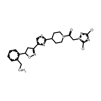 O=C(Cn1nc(Cl)nc1Cl)N1CCC(c2nc(C3=NOC(c4ccccc4[CH2][GaH2])C3)cs2)CC1